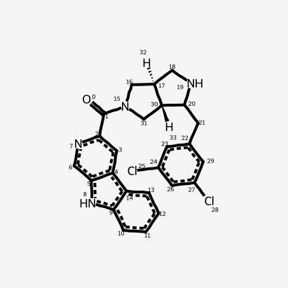 O=C(c1cc2c(cn1)[nH]c1ccccc12)N1C[C@H]2CNC(Cc3cc(Cl)cc(Cl)c3)[C@@H]2C1